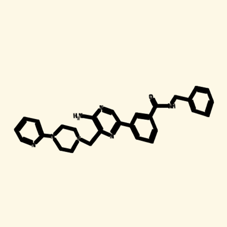 Nc1ncc(-c2cccc(C(=O)NCc3ccccc3)c2)nc1CN1CCN(c2ccccn2)CC1